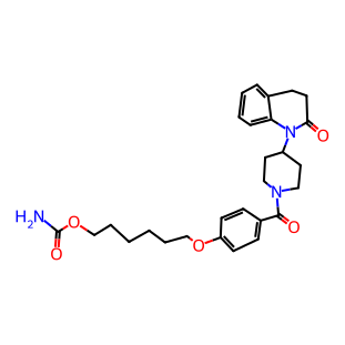 NC(=O)OCCCCCCOc1ccc(C(=O)N2CCC(N3C(=O)CCc4ccccc43)CC2)cc1